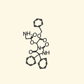 NCC(=O)OC(C(=O)OCc1ccccc1)N1C(=O)NC(c2ccccc2)(c2ccccc2)C1=O